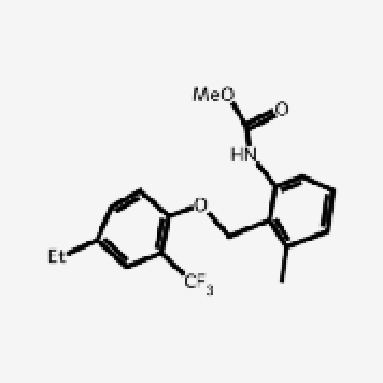 CCc1ccc(OCc2c(C)cccc2NC(=O)OC)c(C(F)(F)F)c1